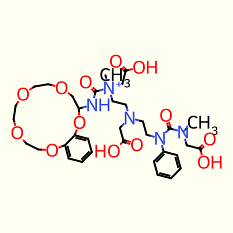 CN(CC(=O)O)C(=O)N(CCN(CC[N+](C)(CC(=O)O)C(=O)NC1COCCOCCOCCOc2ccccc2O1)CC(=O)O)c1ccccc1